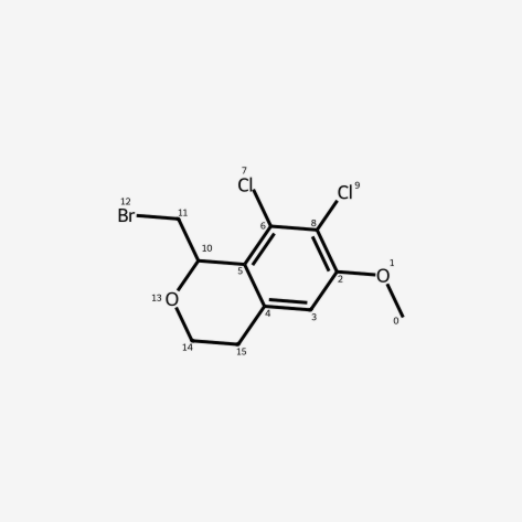 COc1cc2c(c(Cl)c1Cl)C(CBr)OCC2